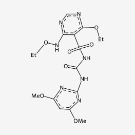 CCONc1ncnc(OCC)c1S(=O)(=O)NC(=O)Nc1nc(OC)cc(OC)n1